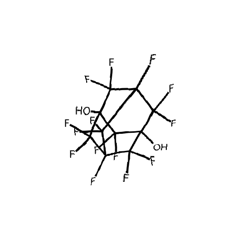 OC12C(F)(F)C3(O)C(F)(F)C(F)(C1(F)F)C(F)(F)C(F)(C2(F)F)C3(F)F